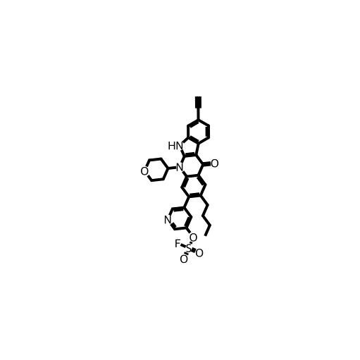 C#Cc1ccc2c(c1)[nH]c1c2c(=O)c2cc(CCCC)c(-c3cncc(OS(=O)(=O)F)c3)cc2n1C1CCOCC1